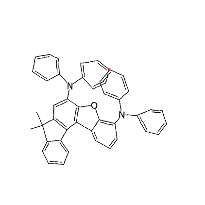 CC1(C)c2ccccc2-c2c1cc(N(c1ccccc1)c1ccccc1)c1oc3c(N(c4ccccc4)c4ccccc4)cccc3c21